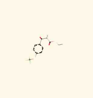 CCOC(=O)C(C)C(=O)c1ccc(OC(F)(F)F)cc1